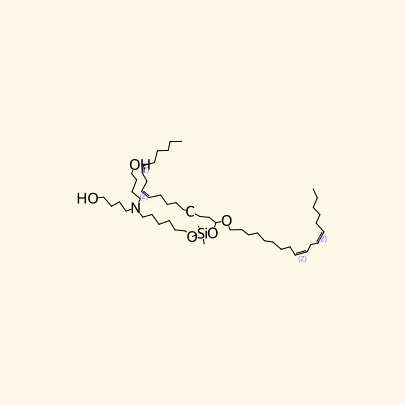 CCCCC/C=C\C/C=C\CCCCCCCCOC(CCCCCCC/C=C\C/C=C\CCCCC)O[Si](C)(C)OCCCCCCN(CCCCO)CCCCO